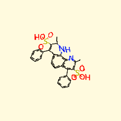 Cc1nc2c3c(ccc2c(-c2ccccc2)c1S(=O)(=O)O)C(c1ccccc1)=C(S(=O)(=O)O)C(C)N3